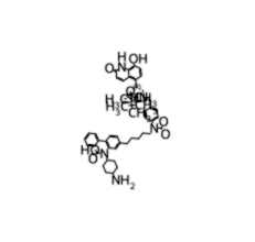 CC(C)(C)[Si](C)(C)O[C@@H](CNCc1ccc2c(c1)oc(=O)n2CCCCCc1ccc(-c2ccccc2)c(N(C(=O)O)C2CCC(N)CC2)c1)c1ccc(O)c2[nH]c(=O)ccc12